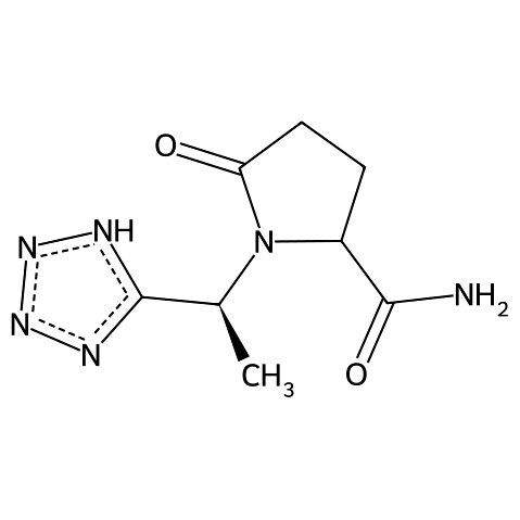 C[C@@H](c1nnn[nH]1)N1C(=O)CCC1C(N)=O